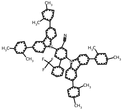 Cc1ccc(-c2ccc3c(c2)c2cc(-c4ccc(C)cc4C)ccc2n3-c2cc(-c3ccccc3C(F)(F)F)c(-n3c4ccc(-c5ccc(C)cc5C)cc4c4cc(-c5ccc(C)cc5C)ccc43)cc2C#N)c(C)c1